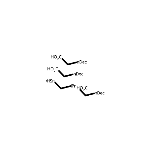 CC(C)[CH2][SnH].CCCCCCCCCCCC(=O)O.CCCCCCCCCCCC(=O)O.CCCCCCCCCCCC(=O)O